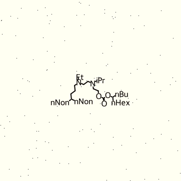 CCCCCCCCCC(CCCCCCCCC)CCCN(CC)CCN(CCOC(=O)OC(CCCC)CCCCCC)C(C)C